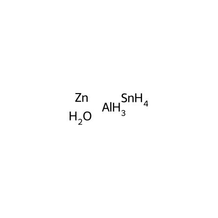 O.[AlH3].[SnH4].[Zn]